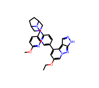 CCOc1cc(-c2ccc(N3CC4CCC(C3)N4Cc3ccc(OC)nc3)nc2)c2c3cn[nH]c3nn2c1